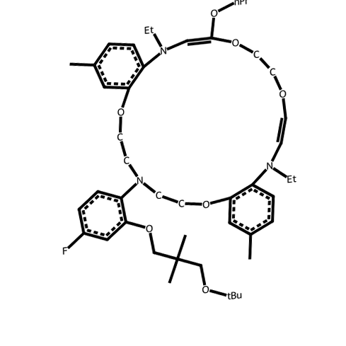 CCCO/C1=C/N(CC)c2ccc(C)cc2OCCN(c2ccc(F)cc2OCC(C)(C)COC(C)(C)C)CCOc2cc(C)ccc2N(CC)/C=C\OCCO1